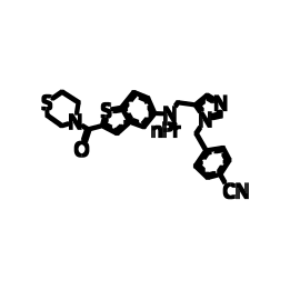 CCCN(Cc1cncn1Cc1ccc(C#N)cc1)c1ccc2sc(C(=O)N3CCSCC3)cc2c1